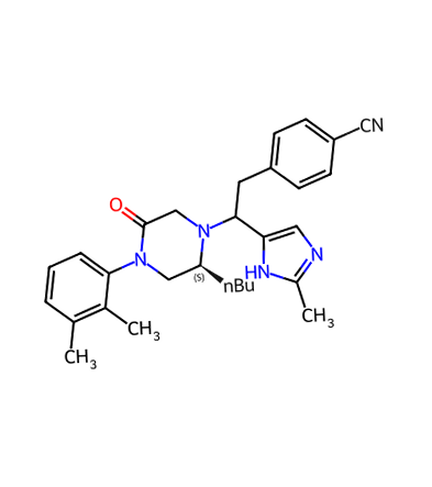 CCCC[C@H]1CN(c2cccc(C)c2C)C(=O)CN1C(Cc1ccc(C#N)cc1)c1cnc(C)[nH]1